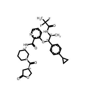 C[C@H](NC(=O)C(C)(F)F)[C@H](Oc1cccnc1C(=O)N[C@H]1CCCN(C(=O)[C@H]2COC(=O)C2)C1)c1ccc(C2CC2)cc1